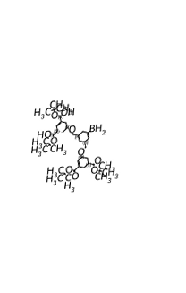 BC1=C[C@@H](CO[C@@H]2C=C(C(=O)OC(C)(C)C)C[C@H](C(=O)OC(C)(C)C)C2)C[C@@H](CO[C@H]2CC([C@H](O)OC(C)(C)C)=C[C@@H]([C@@H](O)OC(C)(C)C)C2)C1